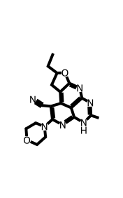 CCC1Cc2c(nc3c4c(nc(N5CCOCC5)c(C#N)c24)NC(C)=N3)O1